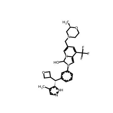 Cc1cn[nH]c1[C@@H](c1cccc(N2C=C3C(C(F)(F)F)=CC(CN4CCO[C@H](C)C4)=CN3C2O)c1)C1COC1